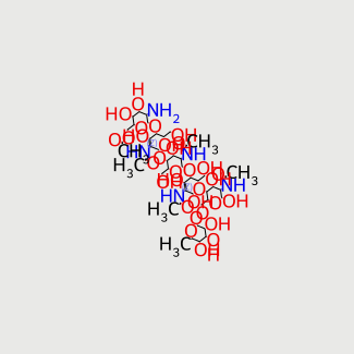 CC(=O)N/C(=C(\O)C(CCO)OC1OC(COC(C)=O)C(O)C(O)C1N)C(O)OC1C(CO)OC(OC(CCO)/C(O)=C(/NC(C)=O)C(O)OC2C(COOC3OC(C)C(O)C(O)C3O)OC(O)C(NC(C)=O)C2O)C(NC(C)=O)C1O